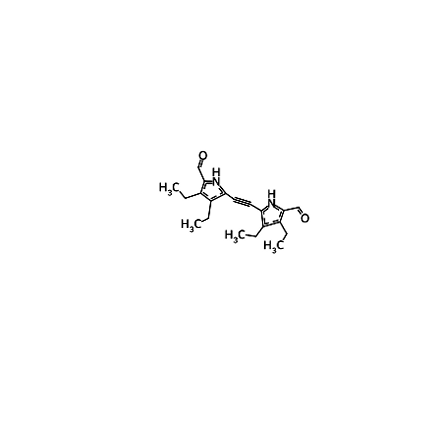 CCc1c(C#Cc2[nH]c(C=O)c(CC)c2CC)[nH]c(C=O)c1CC